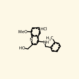 COc1cccc2c(NCc3ccccc3C)cc(CO)nc12.Cl